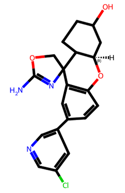 NC1=NC2(CO1)c1cc(-c3cncc(Cl)c3)ccc1O[C@@H]1CC(O)CCC12